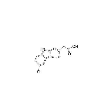 O=C(O)Cc1ccc2c(c1)[nH]c1ccc(Cl)cc12